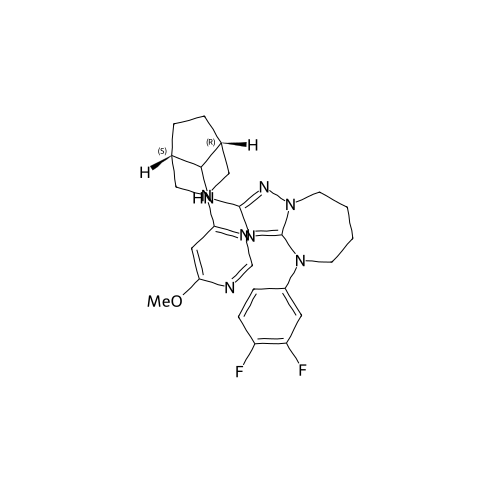 COc1cc(N2C[C@H]3CC[C@@H](C2)C3Nc2nc3n(n2)CCCCN3c2ccc(F)c(F)c2)ncn1